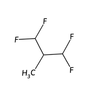 CC(C(F)F)C(F)F